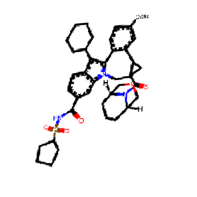 COc1ccc2c(c1)C1CC1(C(=O)N1[C@@H]3CCC[C@H]1COC3)Cn1c-2c(C2CCCCC2)c2ccc(C(=O)NS(=O)(=O)C3CCCC3)cc21